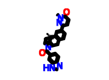 C[C@@H]1C2Cc3ccc(-c4ccc(=O)n(C)n4)cc3[C@]1(C)CCN2C(=O)c1ccc2nc[nH]c2c1